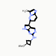 CO[C@H]1C[C@@H](Nc2ncc3c(-c4ccc5ncc(C)n5n4)c[nH]c3n2)C1